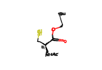 CC(=O)N[C@@H](CS)C(=O)OCC(C)(C)C